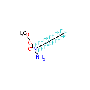 COCCOCC(=O)N(CCN)C(F)(F)C(F)(F)C(F)(F)C(F)(F)C(F)(F)C(F)(F)C(F)(F)C(F)(F)C(F)(F)C(F)(F)F